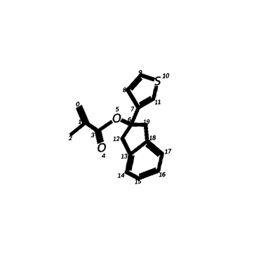 C=C(C)C(=O)OC1(c2ccsc2)Cc2ccccc2C1